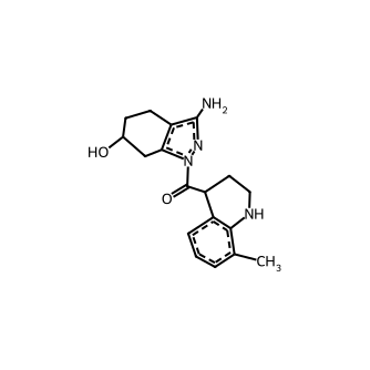 Cc1cccc2c1NCCC2C(=O)n1nc(N)c2c1CC(O)CC2